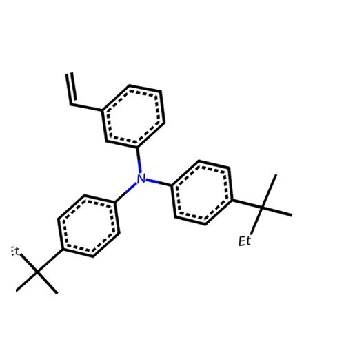 C=Cc1cccc(N(c2ccc(C(C)(C)CC)cc2)c2ccc(C(C)(C)CC)cc2)c1